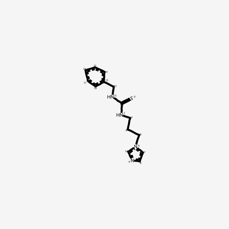 S=C(NCCCn1ccnc1)NCc1ccccc1